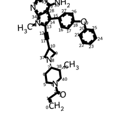 C=CC(=O)N1CC[C@H](N2CC(C#Cc3c(-c4ccc(Oc5ccccc5)cc4)c4c(N)ncnc4n3C)C2)[C@H](C)C1